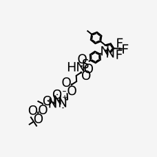 Cc1ccc(-c2cc(C(F)(F)F)nn2-c2ccc(S(=O)(=O)NC(=O)CCC(=O)OCCN(C)[N+]([O-])=NOC(C)OC(=O)OC(C)(C)C)cc2)cc1